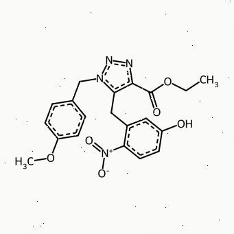 CCOC(=O)c1nnn(Cc2ccc(OC)cc2)c1Cc1cc(O)ccc1[N+](=O)[O-]